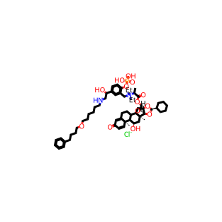 CC[N+](CC)(Cc1cc(C(O)CNCCCCCCOCCCCc2ccccc2)ccc1OP(=O)(O)O)C(C)C(=O)OCC(=O)[C@@]12O[C@H](C3CCCCC3)O[C@H]1CC1C3CCC4=CC(=O)C=C[C@]4(C)C3[C@@H](O)C[C@@]12C.[Cl-]